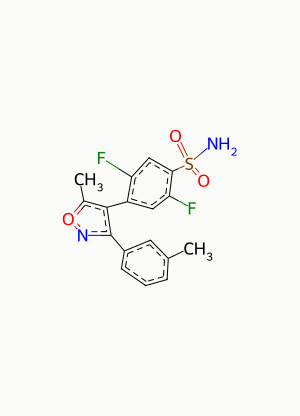 Cc1cccc(-c2noc(C)c2-c2cc(F)c(S(N)(=O)=O)cc2F)c1